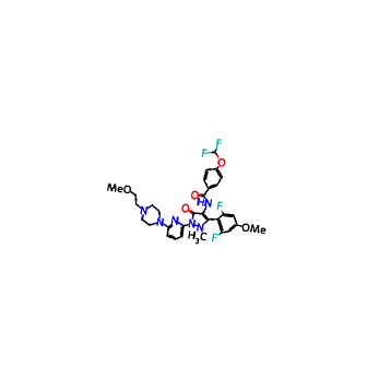 COCCN1CCN(c2cccc(-n3c(=O)c(NC(=O)c4ccc(OC(F)F)cc4)c(-c4c(F)cc(OC)cc4F)n3C)n2)CC1